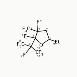 CCC1CC(F)(C(F)(F)F)C(F)(C(F)(C(F)(F)F)C(F)(F)F)O1